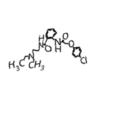 CCN(CC)CCNC(=O)c1ccccc1NC(=O)COc1ccc(Cl)cc1